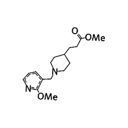 COC(=O)CCC1CCN(Cc2cccnc2OC)CC1